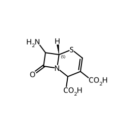 NC1C(=O)N2C(C(=O)O)C(C(=O)O)=CS[C@@H]12